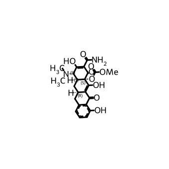 COC(=O)O[C@@]12C(=O)C(C(N)=O)=C(O)[C@@H](N(C)C)[C@@H]1C[C@@H]1Cc3cccc(O)c3C(=O)C1=C2O